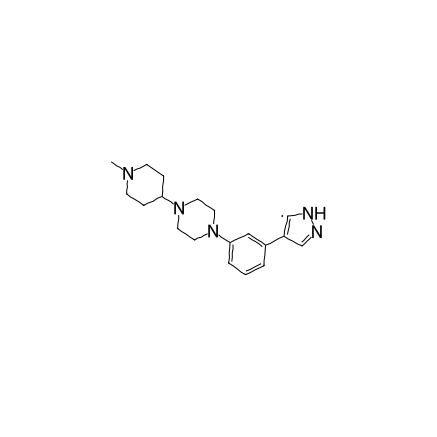 CN1CCC(N2CCN(c3cccc(-c4[c][nH]nc4)c3)CC2)CC1